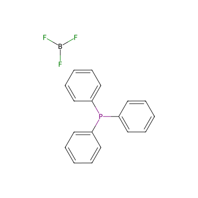 FB(F)F.c1ccc(P(c2ccccc2)c2ccccc2)cc1